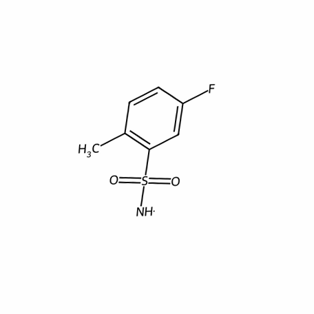 Cc1ccc(F)cc1S([NH])(=O)=O